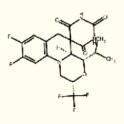 CC(C)[C@@H]1O[C@H](C(F)(F)F)CN2c3cc(F)c(F)cc3CC3(C(=O)NC(=O)NC3=O)[C@@H]12